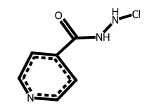 O=C(NNCl)c1ccncc1